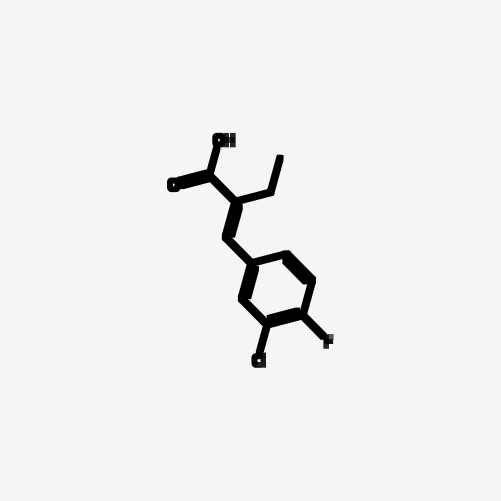 CC/C(=C\c1ccc(F)c(Cl)c1)C(=O)O